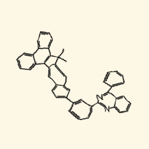 CC1(C)c2cc3cc(-c4cccc(-c5nc(-c6ccccc6)c6ccccc6n5)c4)ccc3cc2-c2c1c1ccccc1c1ccccc21